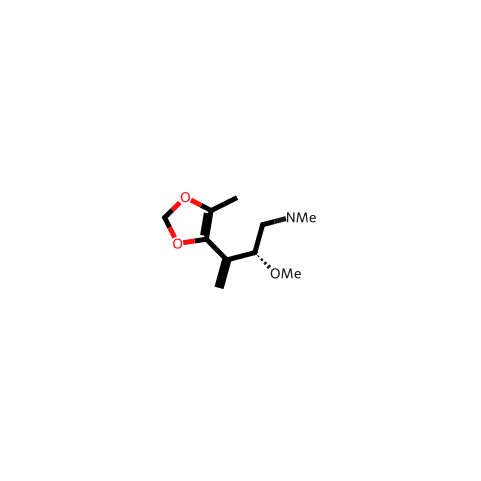 C=C(C1=C(C)OCO1)[C@H](CNC)OC